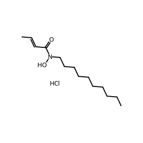 CC=CC(=O)N(O)CCCCCCCCCC.Cl